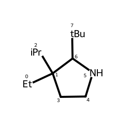 CCC1(C(C)C)CCNC1C(C)(C)C